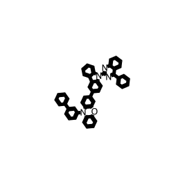 c1ccc(-c2cccc(N3c4ccccc4Oc4cc(-c5ccc6c(c5)c5ccccc5n6-c5nc(-c6ccccc6)c6ccccc6n5)ccc43)c2)cc1